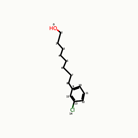 OCCCCCCCCc1cccc(Cl)c1